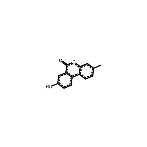 Cc1ccc2c(c1)oc(=O)c1cc(O)ccc12